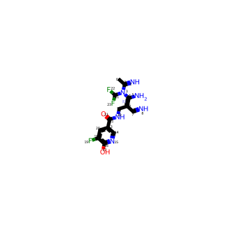 CC(=N)N(/C(N)=C(/C=N)CNC(=O)c1cnc(O)c(F)c1)C(F)F